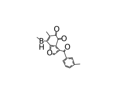 CBC1=C(C)C(=O)C(=O)c2c(C(=O)c3cccc(C)c3)coc21